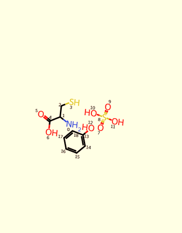 NC(CS)C(=O)O.O=S(=O)(O)O.Oc1ccccc1